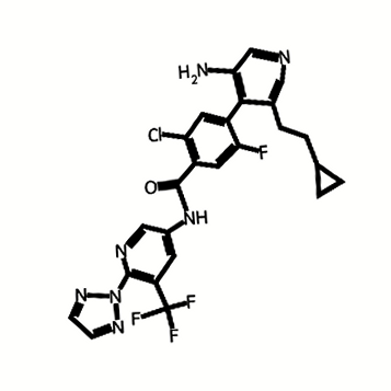 Nc1cncc(CCC2CC2)c1-c1cc(Cl)c(C(=O)Nc2cnc(-n3nccn3)c(C(F)(F)F)c2)cc1F